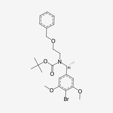 COc1cc([C@@H](C)N(CCOCc2ccccc2)C(=O)OC(C)(C)C)cc(OC)c1Br